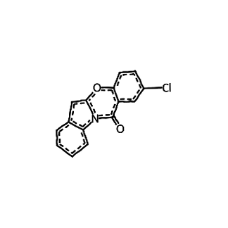 O=c1c2cc(Cl)ccc2oc2cc3ccccc3n12